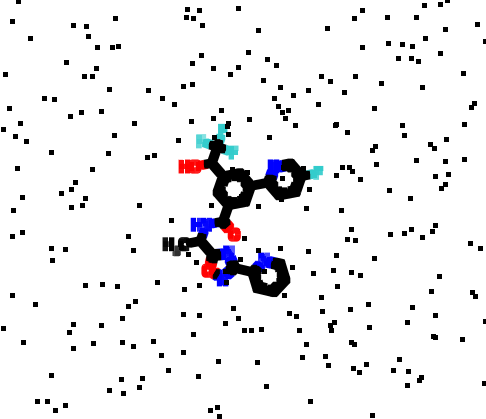 CC(NC(=O)c1cc(-c2ccc(F)cn2)cc(C(O)C(F)(F)F)c1)c1nc(-c2ccccn2)no1